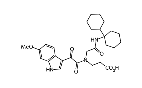 COc1ccc2c(C(=O)C(=O)N(CCC(=O)O)CC(=O)NC3(C4CCCCC4)CCCCC3)c[nH]c2c1